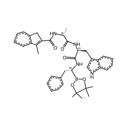 CC1=C(C(=O)N[C@H](C)C(=O)N[C@@H](Cc2c[nH]c3ccccc23)C(=O)N[C@@H](Cc2ccccc2)B2OC(C)(C)C(C)(C)O2)Cc2ccccc21